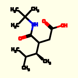 CC(C)[C@H](C)C(CC(=O)O)C(=O)NC(C)(C)C